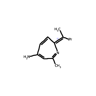 CC1=N/C(=C(/C)C(C)C)C=CC(N)=C1